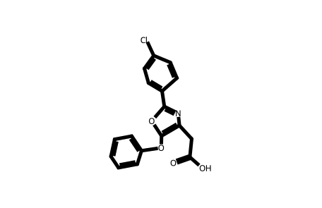 O=C(O)Cc1nc(-c2ccc(Cl)cc2)oc1Oc1ccccc1